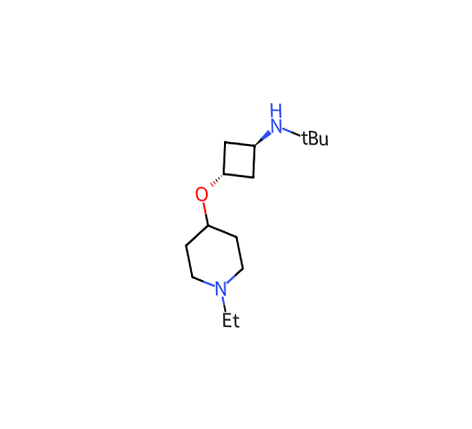 CCN1CCC(O[C@H]2C[C@H](NC(C)(C)C)C2)CC1